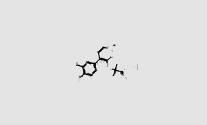 C=N/C=C\C(=C(/C)SC(C)(C)C(=O)O)c1ccc(Cl)c(Cl)c1